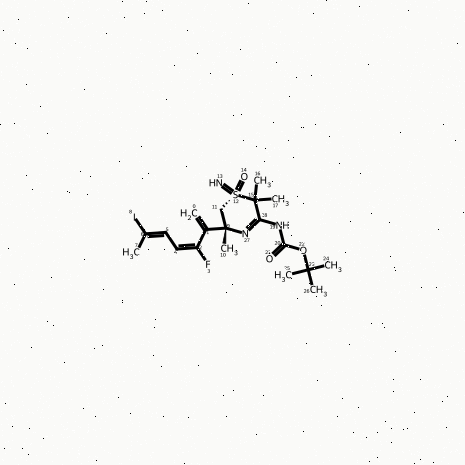 C=C(/C(F)=C\C=C(/C)I)[C@]1(C)C[S@](=N)(=O)C(C)(C)C(NC(=O)OC(C)(C)C)=N1